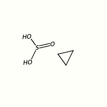 C1CC1.O=S(O)O